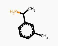 Cc1cccc(C(C)P)c1